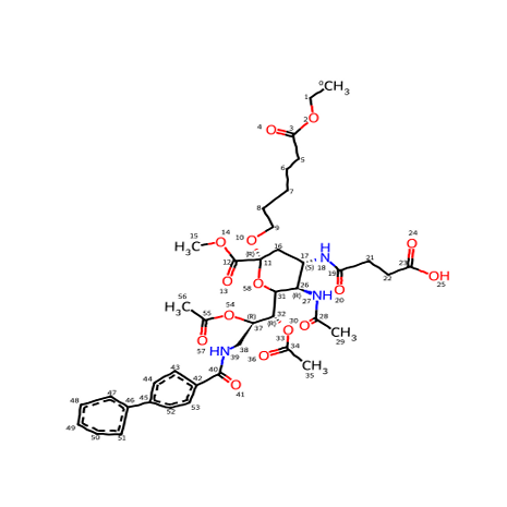 CCOC(=O)CCCCCO[C@]1(C(=O)OC)C[C@H](NC(=O)CCC(=O)O)[C@@H](NC(C)=O)C([C@H](OC(C)=O)[C@@H](CNC(=O)c2ccc(-c3ccccc3)cc2)OC(C)=O)O1